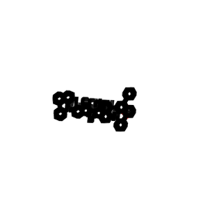 CC1(C)c2cc(N(c3ccccc3)c3ccccc3-c3ccccc3)ccc2-c2sc3c(c21)C(C)(C)c1cc(N(c2ccccc2-c2ccccc2)c2c(F)cc(-c4ccccc4)cc2-c2ccccc2)ccc1-3